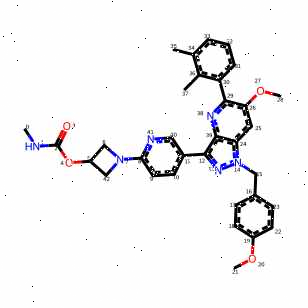 CNC(=O)OC1CN(c2ccc(-c3nn(Cc4ccc(OC)cc4)c4cc(OC)c(-c5cccc(C)c5C)nc34)cn2)C1